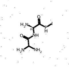 NC(N)C(=O)N[C@@H](N)C(=O)PI